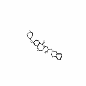 O=C1c2ccc(OC3CCOCC3)cc2OCCN1CC(O)CN1CCc2ccccc2C1